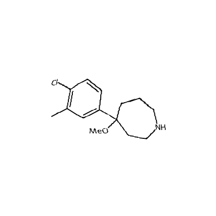 COC1(c2ccc(Cl)c(C)c2)CCCNCC1